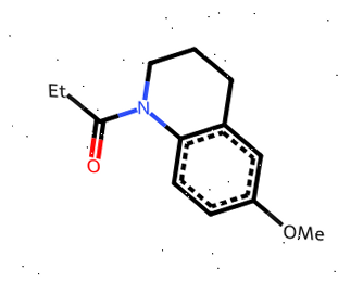 CCC(=O)N1CCCc2cc(OC)ccc21